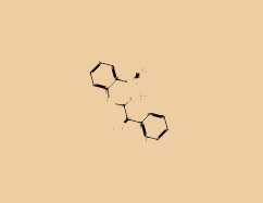 CC(Oc1ccccc1P=O)C(=O)c1ccccc1